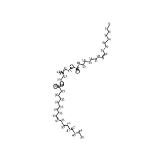 CCCCCCCC/C=C\CCCCCCCC(=O)OCCN(C)CCOC(=O)CCCCCCC/C=C\CCCCCCCC